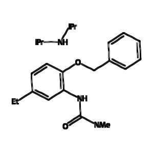 CC(C)NC(C)C.CCc1ccc(OCc2ccccc2)c(NC(=O)NC)c1